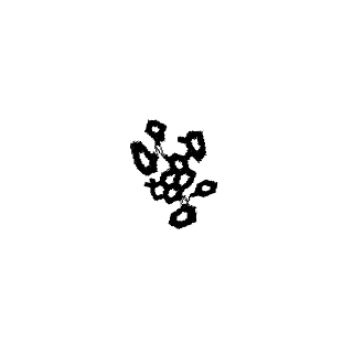 Cc1ccccc1-c1cc(N(c2ccccc2)c2ccccc2)c2cc3c4c(cc(N(c5ccccc5)c5ccccc5)c5ccc1c2c54)CCC3(C)C